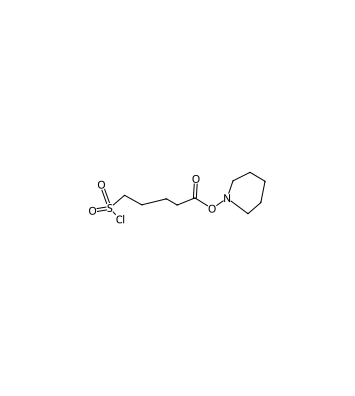 O=C(CCCCS(=O)(=O)Cl)ON1CCCCC1